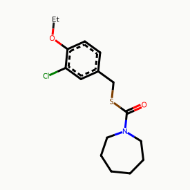 CCOc1ccc(CSC(=O)N2CCCCCC2)cc1Cl